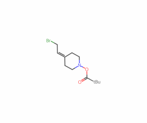 CC(C)(C)C(=O)ON1CCC(=CCBr)CC1